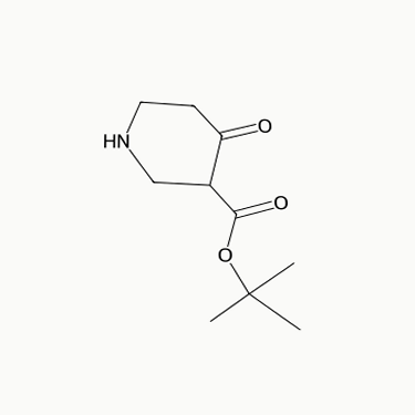 CC(C)(C)OC(=O)C1CNCCC1=O